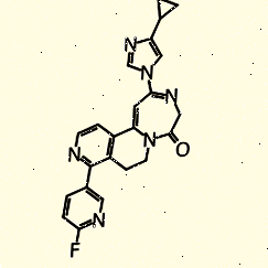 O=C1CN=C(n2cnc(C3CC3)c2)C=C2c3ccnc(-c4ccc(F)nc4)c3CCN12